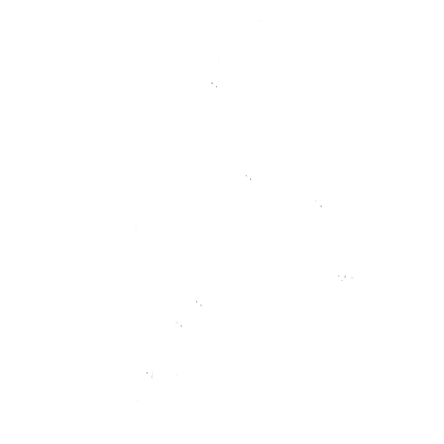 COc1cc2c(cc1-c1cncc(NC(=O)CCNC(=O)OC(C)(C)C)c1)-c1c(c(C(=O)N3CCOCC3(C)C)nn1-c1cc(F)cc(F)c1)CO2